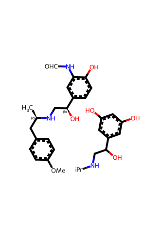 CC(C)NCC(O)c1cc(O)cc(O)c1.COc1ccc(C[C@@H](C)NC[C@H](O)c2ccc(O)c(NC=O)c2)cc1